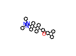 c1ccc(-c2nc(-c3ccccc3)nc(-c3c4ccccc4c(-c4c5ccccc5c(-c5ccc6c(c5)oc5cc7c8ccccc8c8ccccc8c7cc56)c5ccccc45)c4ccccc34)n2)cc1